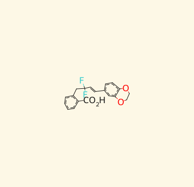 O=C(O)c1ccccc1CC(F)(F)/C=C/c1ccc2c(c1)OCCO2